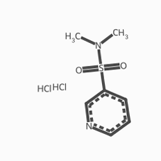 CN(C)S(=O)(=O)c1cccnc1.Cl.Cl